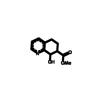 COC(=O)C1CCc2cccnc2C1O